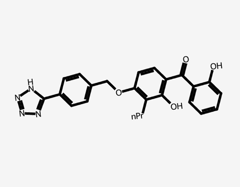 CCCc1c(OCc2ccc(-c3nnn[nH]3)cc2)ccc(C(=O)c2ccccc2O)c1O